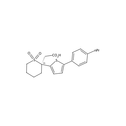 CCCc1ccc(-c2ccc([C@@]3(CC(=O)O)CCCCS3(=O)=O)s2)cc1